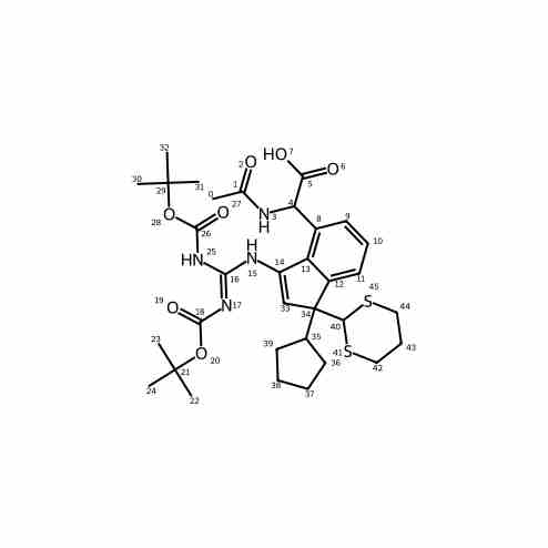 CC(=O)NC(C(=O)O)c1cccc2c1C(NC(=NC(=O)OC(C)(C)C)NC(=O)OC(C)(C)C)=CC2(C1CCCC1)C1SCCCS1